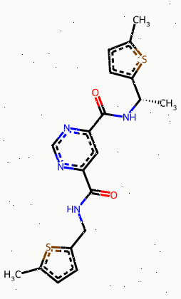 Cc1ccc(CNC(=O)c2cc(C(=O)N[C@@H](C)c3ccc(C)s3)ncn2)s1